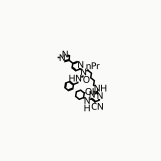 CCCC(CCCCNc1ncc(C#N)c(NC2CCCCC2O)n1)N(C(=O)NCc1ccccc1)c1ccc(-c2cnn(C)c2)cn1